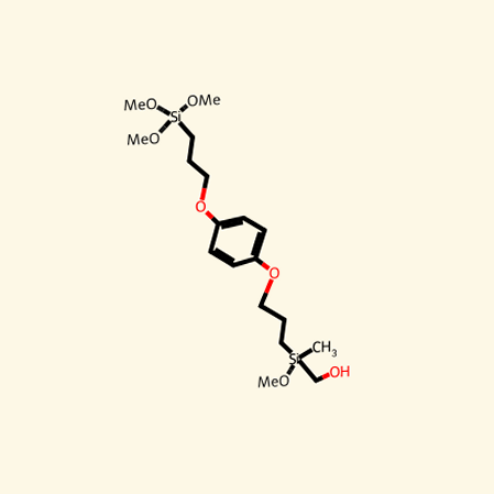 CO[Si](C)(CO)CCCOc1ccc(OCCC[Si](OC)(OC)OC)cc1